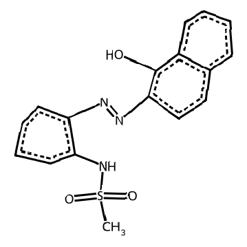 CS(=O)(=O)Nc1ccccc1N=Nc1ccc2ccccc2c1O